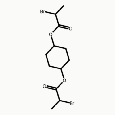 CC(Br)C(=O)OC1CCC(OC(=O)C(C)Br)CC1